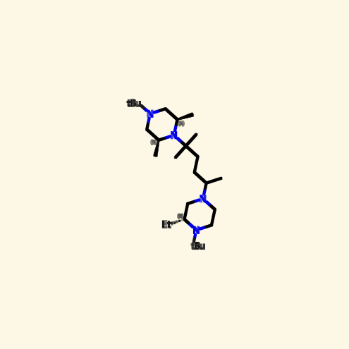 CC[C@@H]1CN(C(C)CCC(C)(C)N2[C@H](C)CN(C(C)(C)C)C[C@@H]2C)CCN1C(C)(C)C